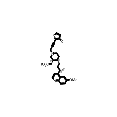 COc1ccc2nccc([C@H](F)CC[C@@H]3CCN(CC#Cc4sccc4Cl)C[C@@H]3CC(=O)O)c2c1